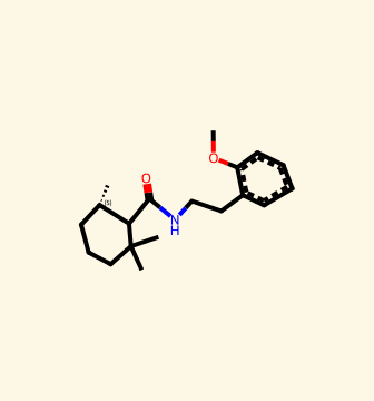 COc1ccccc1CCNC(=O)C1[C@@H](C)CCCC1(C)C